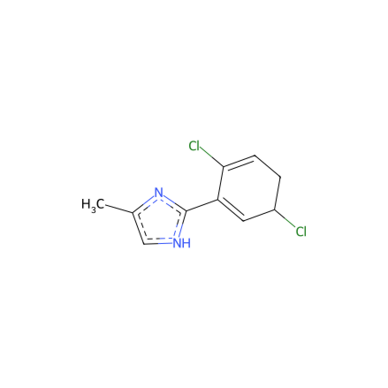 Cc1c[nH]c(C2=CC(Cl)CC=C2Cl)n1